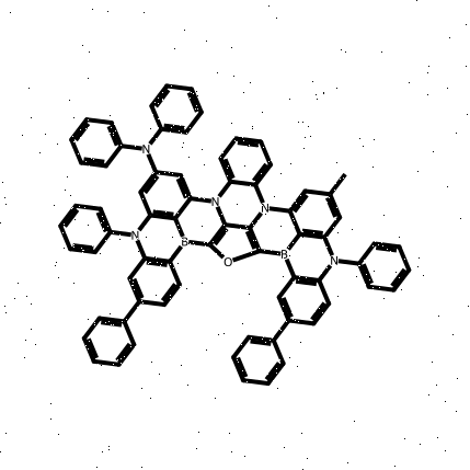 Cc1cc2c3c(c1)N1c4ccccc4N4c5cc(N(c6ccccc6)c6ccccc6)cc6c5B(c5ccc(-c7ccccc7)cc5N6c5ccccc5)c5oc(c1c54)B3c1cc(-c3ccccc3)ccc1N2c1ccccc1